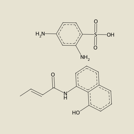 CC=CC(=O)Nc1cccc2cccc(O)c12.Nc1ccc(S(=O)(=O)O)c(N)c1